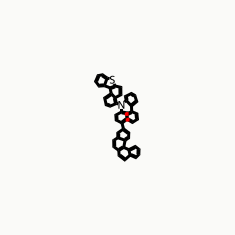 c1ccc(-c2ccccc2N(c2ccc(-c3ccc4c(ccc5ccc6ccccc6c54)c3)cc2)c2cccc3c2ccc2sc4ccccc4c23)cc1